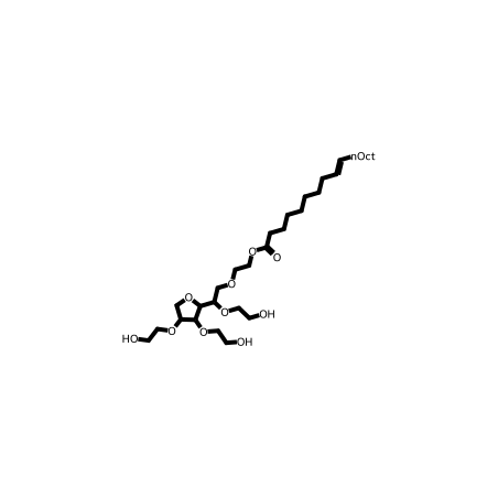 CCCCCCCC/C=C/CCCCCCCC(=O)OCCOCC(OCCO)C1OCC(OCCO)C1OCCO